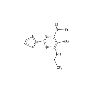 CCC(C)c1c(NCC(F)(F)F)nc(-n2cccn2)nc1N(CC)CC